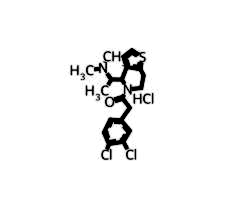 CC(C1c2ccsc2CCN1C(=O)Cc1ccc(Cl)c(Cl)c1)N(C)C.Cl